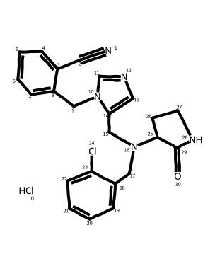 Cl.N#Cc1ccccc1Cn1cncc1CN(Cc1ccccc1Cl)C1CCNC1=O